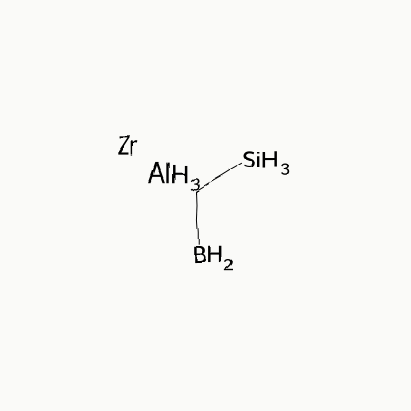 BC[SiH3].[AlH3].[Zr]